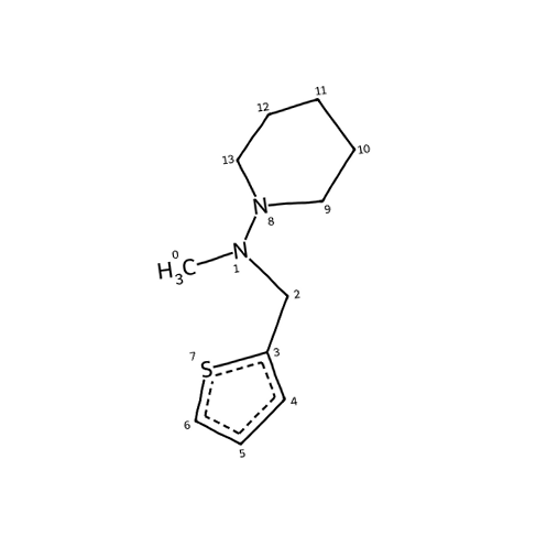 CN(Cc1cccs1)N1CCCCC1